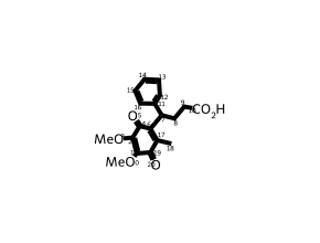 COC1=C(OC)C(=O)C(C(CCC(=O)O)c2ccccc2)=C(C)C1=O